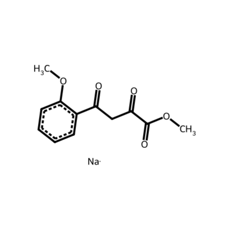 COC(=O)C(=O)CC(=O)c1ccccc1OC.[Na]